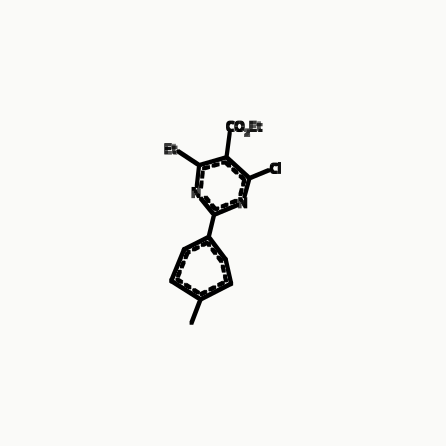 CCOC(=O)c1c(Cl)nc(-c2ccc(C)cc2)nc1CC